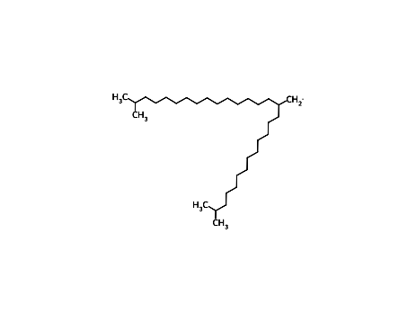 [CH2]C(CCCCCCCCCCCCCC(C)C)CCCCCCCCCCCC(C)C